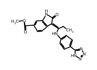 CCC(Nc1ccc(-c2nnn[nH]2)cc1)=C1C(=O)Nc2cc(C(=O)OC)ccc21